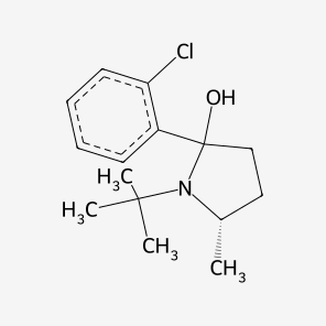 C[C@H]1CCC(O)(c2ccccc2Cl)N1C(C)(C)C